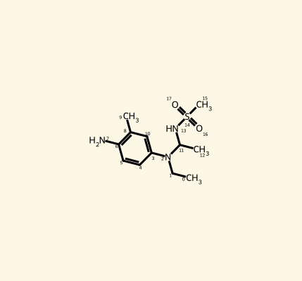 CCN(c1ccc(N)c(C)c1)C(C)NS(C)(=O)=O